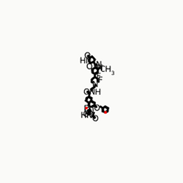 Cn1nc(C2CCC(=O)NC2=O)c2ccc(C3CCN(CCNC(=O)c4ccc5c(F)c(N6CC(=O)NS6(=O)=O)c(OCc6ccccc6)cc5c4)CC3(F)F)cc21